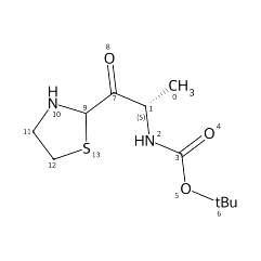 C[C@H](NC(=O)OC(C)(C)C)C(=O)C1NCCS1